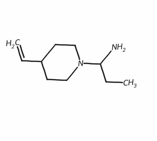 C=CC1CCN(C(N)CC)CC1